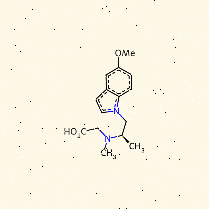 COc1ccc2c(ccn2C[C@@H](C)N(C)CC(=O)O)c1